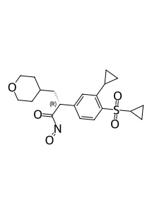 O=NC(=O)[C@H](CC1CCOCC1)c1ccc(S(=O)(=O)C2CC2)c(C2CC2)c1